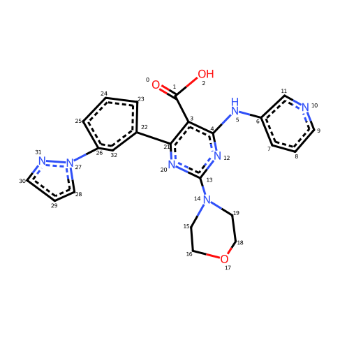 O=C(O)c1c(Nc2cccnc2)nc(N2CCOCC2)nc1-c1cccc(-n2cccn2)c1